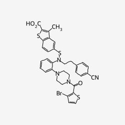 Cc1c(C(=O)O)sc2ccc(SN(CCc3ccc(C#N)cc3)c3ccccc3N3CCN(C(=O)c4sccc4Br)CC3)cc12